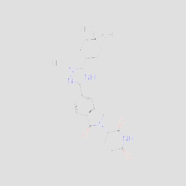 CN1N=C(c2ccc3c(c2)CN(C2CCC(=O)NC2=O)C3=O)NC1C1CCC(C)(C)CC1